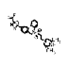 C[C@@H]1CN(CCS(=O)(=O)N(Cc2ccc(-c3nnc(C(F)F)o3)cc2)c2ccccc2)C[C@H](C)N1